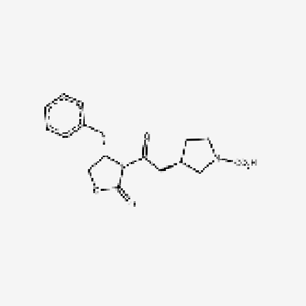 O=C(O)N1CC[C@H](CC(=O)N2C(=O)OC[C@@H]2Cc2ccccc2)C1